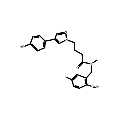 COc1ccc(F)cc1CN(C)C(=O)CCCn1cc(-c2ccc(O)cc2)cn1